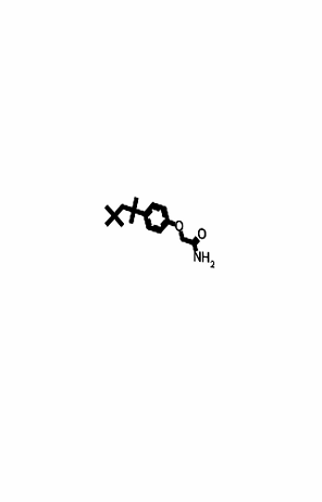 CC(C)(C)CC(C)(C)c1ccc(OCC(N)=O)cc1